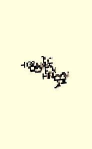 C=CCn1c(=O)c2cnc(Nc3cc4c(c(C5CC5)c3)C3(CC3)CN(C)C4)nc2n1-c1ccc2c(n1)C(O)(CC)CC2